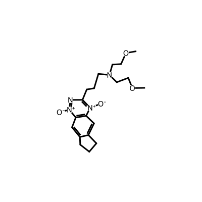 COCCN(CCCc1n[n+]([O-])c2cc3c(cc2[n+]1[O-])CCC3)CCOC